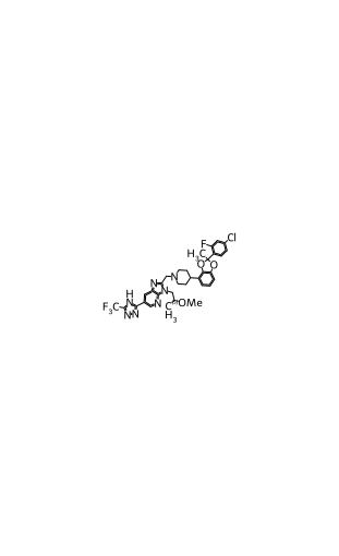 CO[C@@H](C)Cn1c(CN2CCC(c3cccc4c3OC(C)(c3ccc(Cl)cc3F)O4)CC2)nc2cc(-c3nnc(C(F)(F)F)[nH]3)cnc21